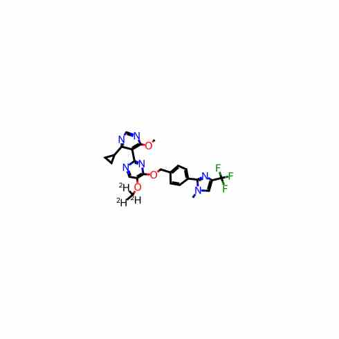 [2H]C([2H])([2H])Oc1cnc(-c2c(OC)ncnc2C2CC2)nc1OCc1ccc(-c2nc(C(F)(F)F)cn2C)cc1